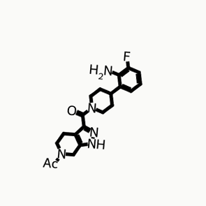 CC(=O)N1CCc2c(C(=O)N3CCC(c4cccc(F)c4N)CC3)n[nH]c2C1